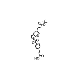 CC(C)(C)OC(=O)C=Cc1cnc2c(ccn2S(=O)(=O)c2ccc(C=CC(=O)O)cc2)c1